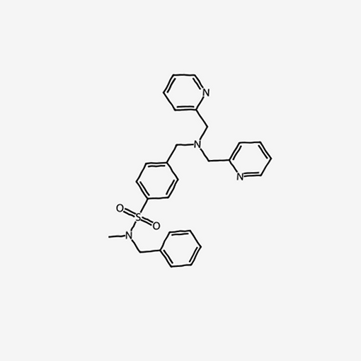 CN(Cc1ccccc1)S(=O)(=O)c1ccc(CN(Cc2ccccn2)Cc2ccccn2)cc1